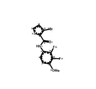 COc1ccc(NC(=O)c2sccc2Br)c(F)c1F